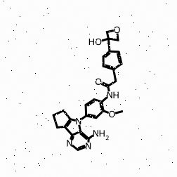 COc1cc(-n2c3c(c4ncnc(N)c42)CCC3)ccc1NC(=O)Cc1ccc(C2(O)COC2)cc1